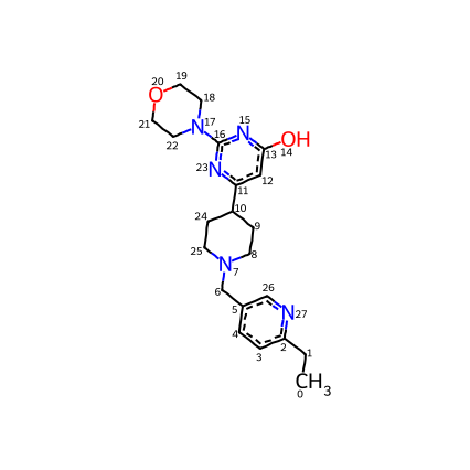 CCc1ccc(CN2CCC(c3cc(O)nc(N4CCOCC4)n3)CC2)cn1